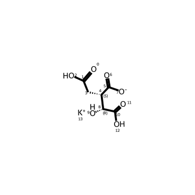 O=C(O)C[C@H](C(=O)[O-])[C@@H](O)C(=O)O.[K+]